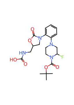 CC(C)(C)OC(=O)N1CCN(c2ccccc2N2CC(CNC(=O)O)OC2=O)CC1F